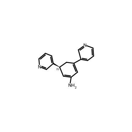 NC1=C[C@@H](c2cccnc2)CC(c2cccnc2)=C1